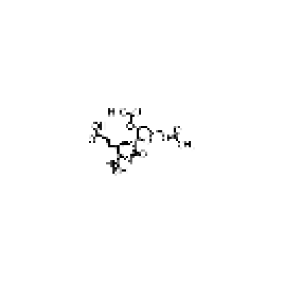 CC(=O)OC[C@@H]1C[C@@H](OC(C)=O)[C@H](n2cc(/C=C/C(=O)O)c(NO)nc2=O)O1